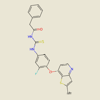 CCCc1cc2nccc(Oc3ccc(NC(=S)NC(=O)Cc4ccccc4)cc3F)c2s1